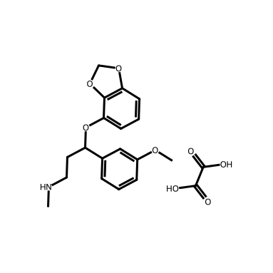 CNCCC(Oc1cccc2c1OCO2)c1cccc(OC)c1.O=C(O)C(=O)O